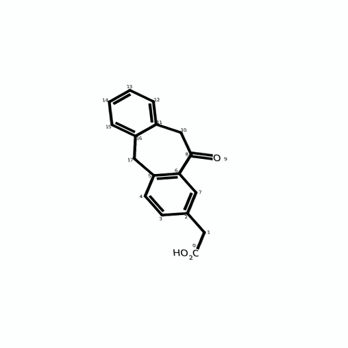 O=C(O)Cc1ccc2c(c1)C(=O)Cc1ccccc1C2